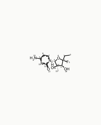 CC[C@@]1(F)O[C@@H](n2ccc(N)nc2=O)[C@](C)(O)[C@@H]1O